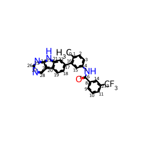 Cc1ccc(NC(=O)c2cccc(C(F)(F)F)c2)cc1-c1ccc2c(c1)[nH]c1ncncc12